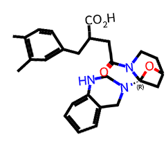 Cc1ccc(CC(CC(=O)N2CCC3C[C@]2(N2CNc4ccccc4C2)O3)C(=O)O)cc1C